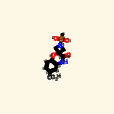 CS(=O)(=O)N1CC2(C1)Oc1ccc(C(=O)O)cc1NC2=O